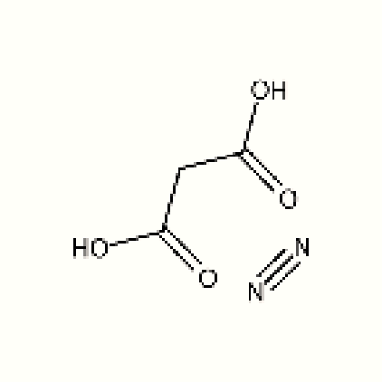 N#N.O=C(O)CC(=O)O